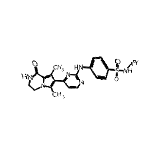 Cc1c(-c2ccnc(Nc3ccc(S(=O)(=O)NC(C)C)cc3)n2)c(C)n2c1C(=O)NCC2